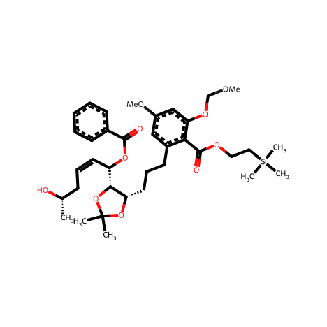 COCOc1cc(OC)cc(CCC[C@@H]2OC(C)(C)O[C@@H]2C(/C=C\C[C@H](C)O)OC(=O)c2ccccc2)c1C(=O)OCC[Si](C)(C)C